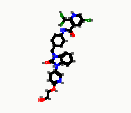 O=C(N[C@H]1CC[C@H](Cn2c(=O)n(-c3ccc(OCCO)nc3)c3ccccc32)CC1)c1cc(Cl)cnc1C(F)F